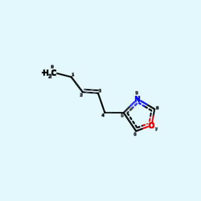 [CH2]CC=CCc1cocn1